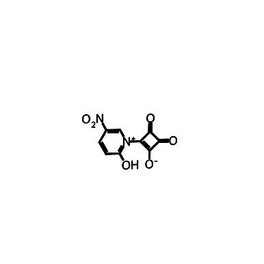 O=c1c([O-])c(-[n+]2cc([N+](=O)[O-])ccc2O)c1=O